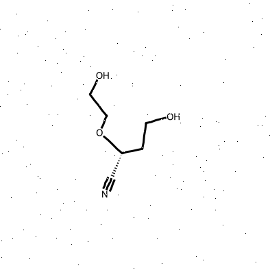 N#C[C@@H](CCO)OCCO